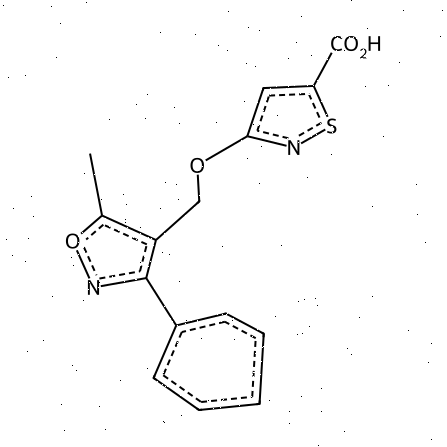 Cc1onc(-c2ccccc2)c1COc1cc(C(=O)O)sn1